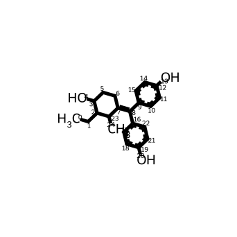 CCC1C(O)CCC(=C(c2ccc(O)cc2)c2ccc(O)cc2)C1C